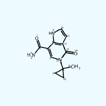 CC1(n2cc(C(N)=O)c3[nH]ccc3c2=O)CC1